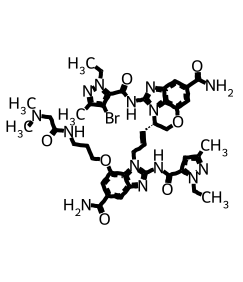 CCn1nc(C)cc1C(=O)Nc1nc2cc(C(N)=O)cc(OCCCNC(=O)CN(C)C)c2n1C/C=C/[C@H]1COc2cc(C(N)=O)cc3nc(NC(=O)c4c(Br)c(C)nn4CC)n1c23